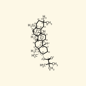 C[C@H]1[C@@H](OC(=O)C(C)(C)C)CC[C@@H]2[C@]1(C)CC[C@H]1[C@@]2(C)CC[C@@]2(C)[C@@H]3CC(C)(C)CC[C@]3(C)CC[C@]12C